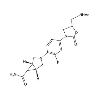 CC(=O)NC[C@H]1CN(c2ccc(N3C[C@@H]4C(C(N)=O)[C@@H]4C3)c(F)c2)C(=O)O1